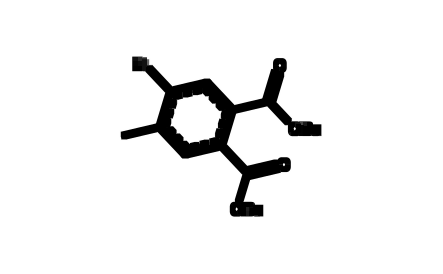 CCc1cc(C(=O)OCC(C)C)c(C(=O)OCC(C)C)cc1C